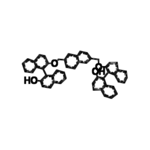 Oc1ccc2ccccc2c1-c1c(OCc2ccc3cc(COc4ccc5ccccc5c4-c4c(O)ccc5ccccc45)ccc3c2)ccc2ccccc12